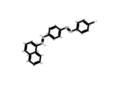 Ic1ccc(N=Nc2ccc(N=Nc3cccc4ccccc34)cc2)cc1